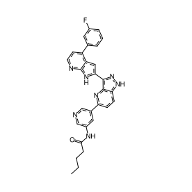 CCCCC(=O)Nc1cncc(-c2ccc3[nH]nc(-c4cc5c(-c6cccc(F)c6)ccnc5[nH]4)c3n2)c1